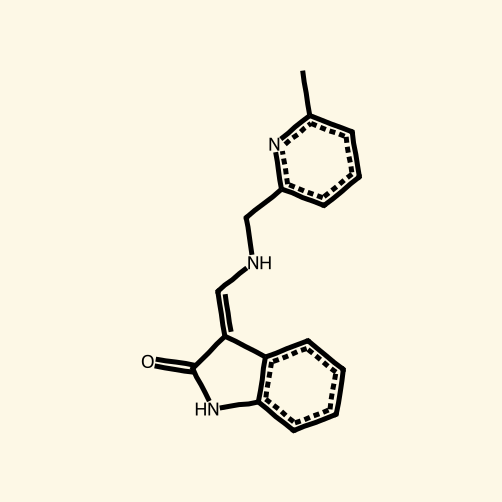 Cc1cccc(CN/C=C2/C(=O)Nc3ccccc32)n1